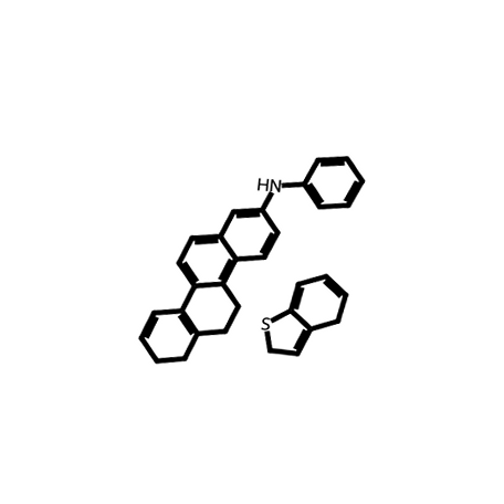 C1=CC2=C(CC1)CCc1c2ccc2cc(Nc3ccccc3)ccc12.C1=CCC2=CCSC2=C1